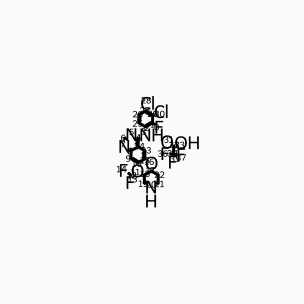 Fc1c(Nc2ncnc3cc(OC(F)F)c(OC4CCNCC4)cc23)ccc(Cl)c1Cl.O=C(O)C(F)(F)F